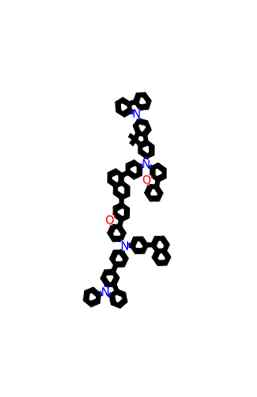 CC1(C)c2cc(N(c3ccc(-c4cccc5cc(-c6ccc7c(c6)oc6ccc(N(c8ccc(-c9ccc%10c(c9)c9ccccc9n%10-c9ccccc9)cc8)c8ccc(-c9cccc%10ccccc9%10)cc8)cc67)ccc45)cc3)c3cccc4c3oc3ccccc34)ccc2-c2ccc(-n3c4ccccc4c4ccccc43)cc21